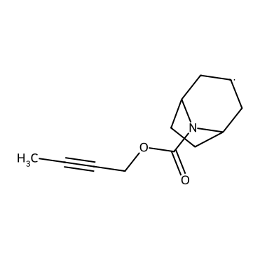 CC#CCOC(=O)N1C2C[CH]CC1CC2